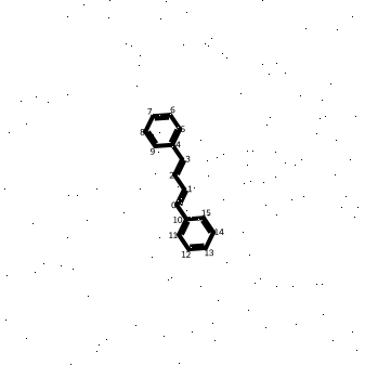 [C](=C\C=C\c1ccccc1)/c1ccccc1